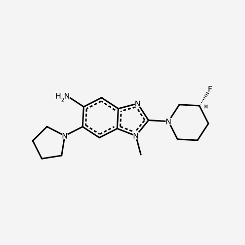 Cn1c(N2CCC[C@@H](F)C2)nc2cc(N)c(N3CCCC3)cc21